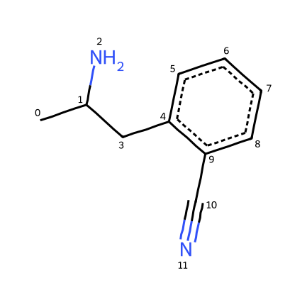 CC(N)Cc1ccccc1C#N